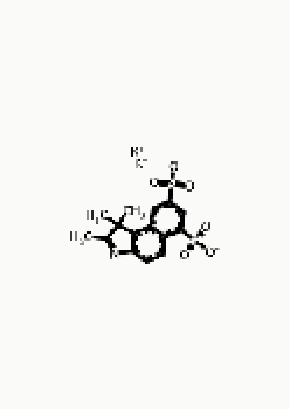 CC1=Nc2ccc3c(S(=O)(=O)[O-])cc(S(=O)(=O)[O-])cc3c2C1(C)C.[K+].[K+]